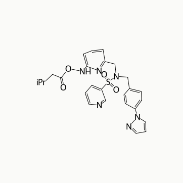 CC(C)CC(=O)ONc1cccc(CN(Cc2ccc(-n3cccn3)cc2)S(=O)(=O)c2cccnc2)n1